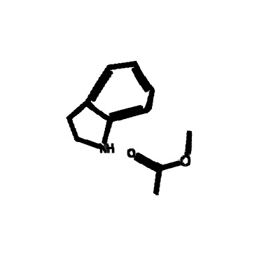 COC(C)=O.c1ccc2c(c1)CCN2